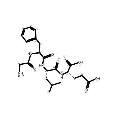 CC(C)C[C@H](NC(=O)[C@H](Cc1ccccc1)NC(=O)CN)C(=O)N[C@@H](CCC(=O)O)C(=O)O